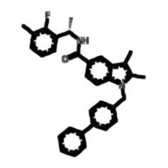 Cc1cccc([C@H](C)NC(=O)c2ccc3c(c2)c(C)c(C)n3Cc2ccc(-c3ccccc3)cc2)c1F